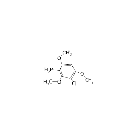 COc1cc(OC)c(Cl)c(OC)c1P